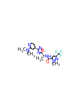 C[C@@H](NC(=O)c1cc(C(F)(F)F)nn1C)c1nc(-c2ccnc(N(C)C)c2)no1